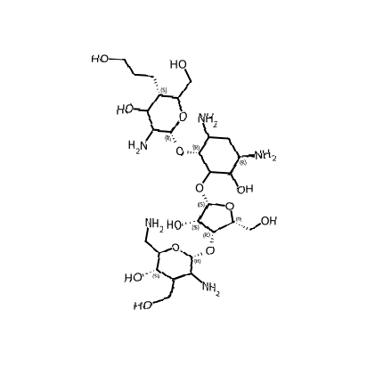 NCC1O[C@H](O[C@@H]2[C@H](O)[C@H](OC3C(O)[C@H](N)CC(N)[C@H]3O[C@H]3OC(CO)[C@@H](CCCO)C(O)C3N)O[C@@H]2CO)C(N)C(CO)[C@@H]1O